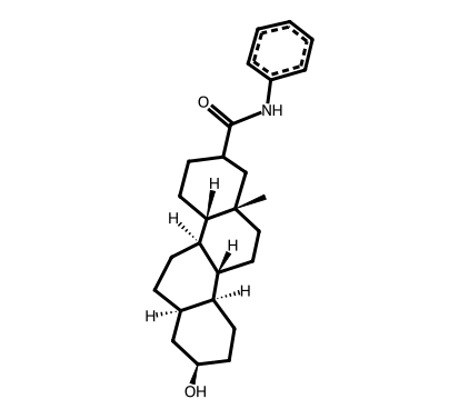 C[C@@]12CC[C@H]3[C@@H](CC[C@@H]4C[C@H](O)CC[C@@H]43)[C@@H]1CCC(C(=O)Nc1ccccc1)C2